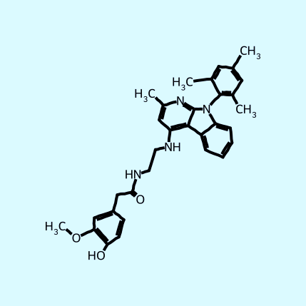 COc1cc(CC(=O)NCCNc2cc(C)nc3c2c2ccccc2n3-c2c(C)cc(C)cc2C)ccc1O